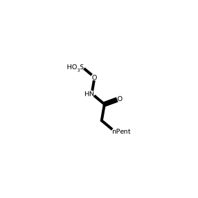 CCCCCCC(=O)NOS(=O)(=O)O